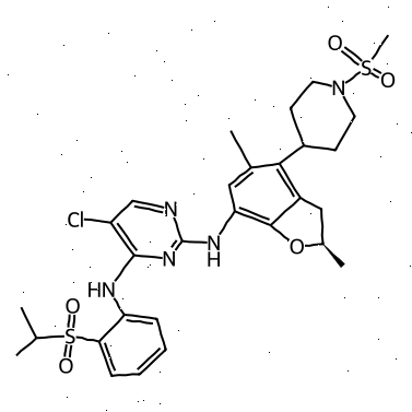 Cc1cc(Nc2ncc(Cl)c(Nc3ccccc3S(=O)(=O)C(C)C)n2)c2c(c1C1CCN(S(C)(=O)=O)CC1)C[C@@H](C)O2